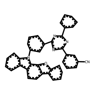 N#Cc1cccc(-c2nc(-c3ccccc3)nc(-c3cccc(-n4c5ccccc5c5ccc6c7ccccc7oc6c54)c3)n2)c1